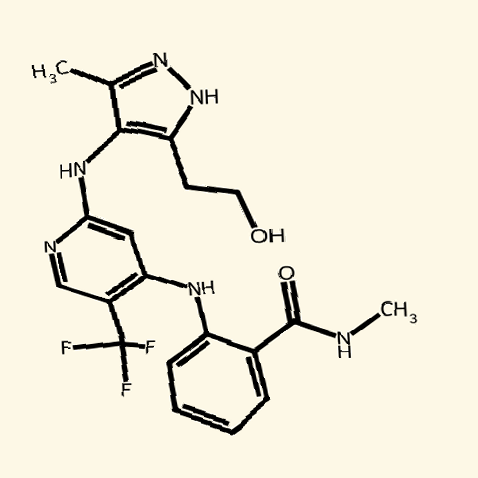 CNC(=O)c1ccccc1Nc1cc(Nc2c(C)n[nH]c2CCO)ncc1C(F)(F)F